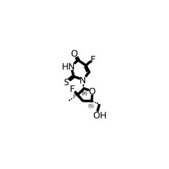 C[C@@]1(F)C[C@@H](CO)O[C@H]1n1cc(F)c(=O)[nH]c1=S